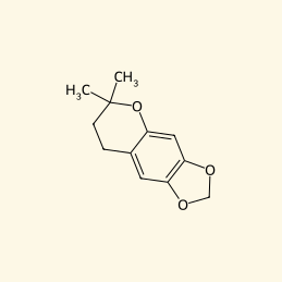 CC1(C)CCc2cc3c(cc2O1)OCO3